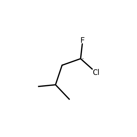 CC(C)C[C](F)Cl